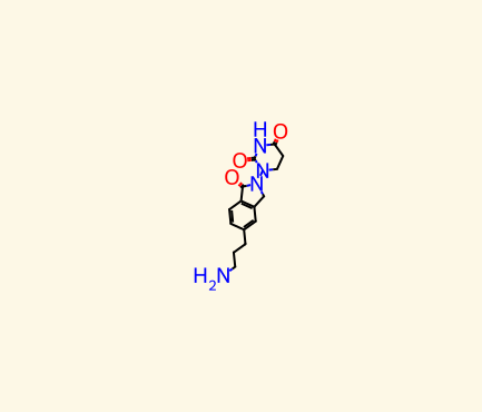 NCCCc1ccc2c(c1)CN(N1CCC(=O)NC1=O)C2=O